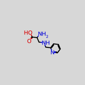 NC(CNCc1ccccn1)C(=O)O